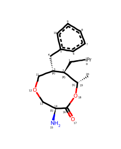 CC(C)C[C@@H]1[C@@H](Cc2ccccc2)COC[C@H](N)C(=O)O[C@H]1C